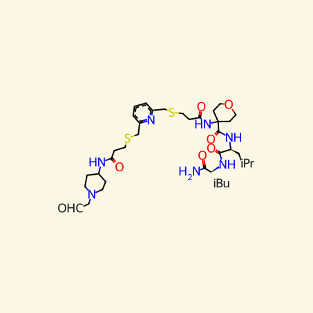 CC[C@H](C)[C@H](NC(=O)[C@H](CC(C)C)NC(=O)C1(NC(=O)CCSCc2cccc(CSCCC(=O)NC3CCN(CC=O)CC3)n2)CCOCC1)C(N)=O